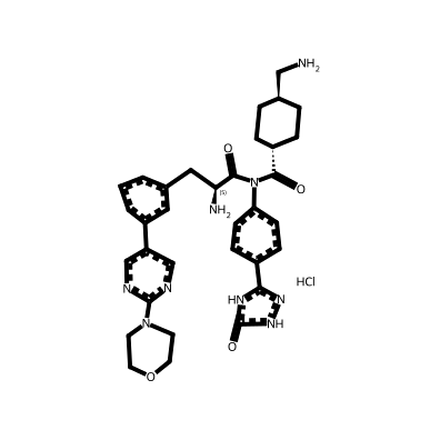 Cl.NC[C@H]1CC[C@H](C(=O)N(C(=O)[C@@H](N)Cc2cccc(-c3cnc(N4CCOCC4)nc3)c2)c2ccc(-c3n[nH]c(=O)[nH]3)cc2)CC1